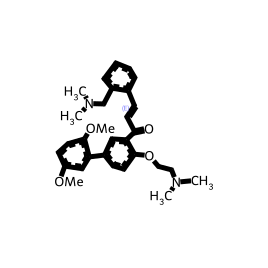 COc1ccc(OC)c(-c2ccc(OCCN(C)C)c(C(=O)/C=C/c3ccccc3CN(C)C)c2)c1